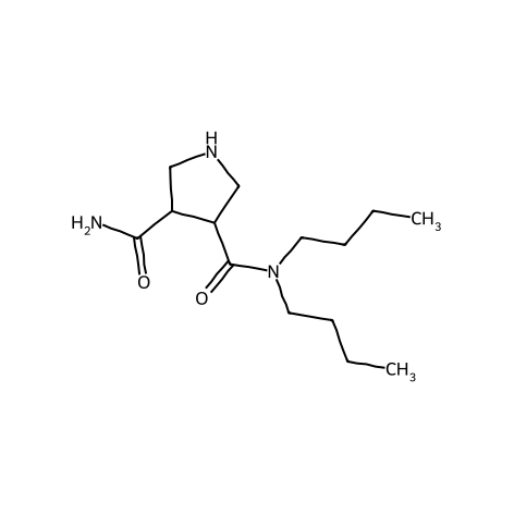 CCCCN(CCCC)C(=O)C1CNCC1C(N)=O